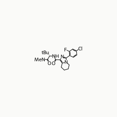 CNC(=O)[C@@H](NC(=O)c1nc(-c2ccc(Cl)cc2F)n2c1CCCC2)C(C)(C)C